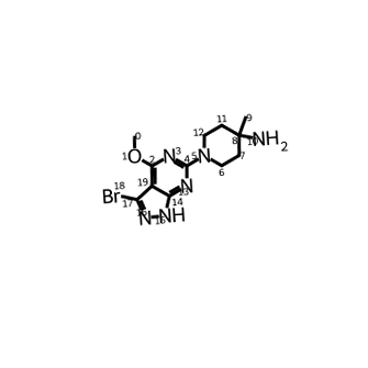 COc1nc(N2CCC(C)(N)CC2)nc2[nH]nc(Br)c12